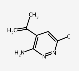 C=C(C)c1cc(Cl)nnc1N